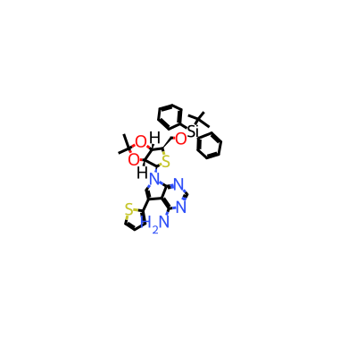 CC1(C)O[C@@H]2[C@H](O1)[C@@H](CO[Si](c1ccccc1)(c1ccccc1)C(C)(C)C)S[C@H]2n1cc(-c2cccs2)c2c(N)ncnc21